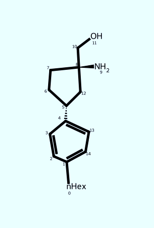 CCCCCCc1ccc([C@@H]2CC[C@](N)(CO)C2)cc1